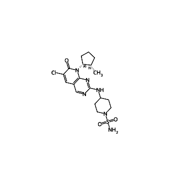 C[C@H]1CCC[C@H]1n1c(=O)c(Cl)cc2cnc(NC3CCN(S(N)(=O)=O)CC3)nc21